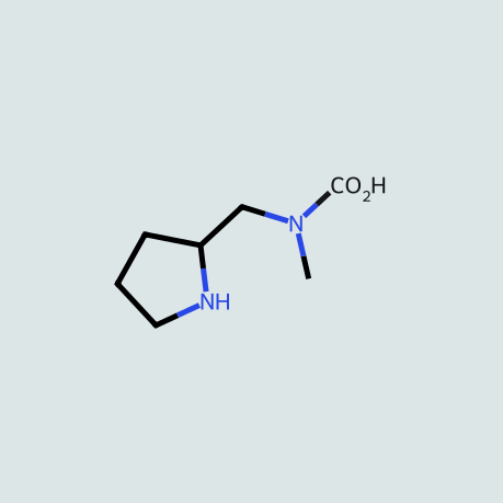 CN(CC1CCCN1)C(=O)O